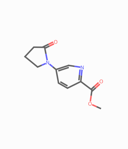 COC(=O)c1ccc(N2CCCC2=O)cn1